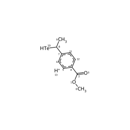 COC(=O)c1ccc(C(C)[TeH])cc1.[H+]